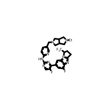 CCN1CC2CN(Cc3ccc(Nc4ncc(F)c(-c5cc(F)c6nc7n(c6c5)C(C(F)(F)F)CC7)n4)nc3)CC2C1